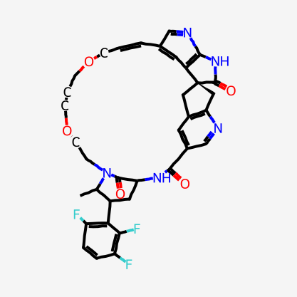 CC1C(c2c(F)ccc(F)c2F)CC2NC(=O)c3cnc4c(c3)C[C@@]3(C4)C(=O)Nc4ncc(cc43)/C=C/COCCCOCCN1C2=O